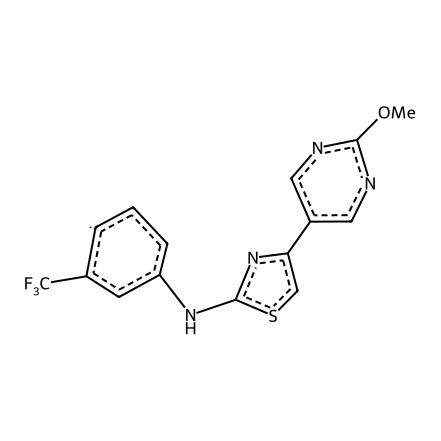 COc1ncc(-c2csc(Nc3cc[c]c(C(F)(F)F)c3)n2)cn1